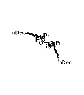 CCCCCCCCCCCCCCCCCC[Si](OC(=O)CCC(=O)O[Si](CCCCCCCCCCCCCCCCCC)(C(C)C)C(C)C)(C(C)C)C(C)C